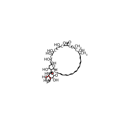 C[C@H]1C[C@H](O)[C@@H](C)/C=C/C=C/C=C/C=C/C=C/C=C/C=C/[C@H](O[C@@H]2OC[C@@H](O)[C@H](N)[C@@H]2O)C[C@@H]2O[C@](O)(C[C@@H](O)CC(O)C(O)CCC(O)CC(O)C(C=O)CO1)C[C@H](O)C2C(=O)NC1CCOCC1